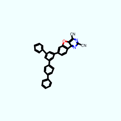 N#Cc1nc(C#N)c2oc3cc(-c4cc(-c5ccccc5)cc(-c5ccc(-c6ccccc6)cc5)c4)ccc3c2n1